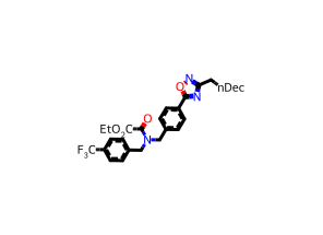 CCCCCCCCCCCc1noc(-c2ccc(CN(Cc3ccc(C(F)(F)F)cc3)C(=O)C(=O)OCC)cc2)n1